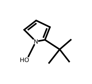 CC(C)(C)c1cccn1O